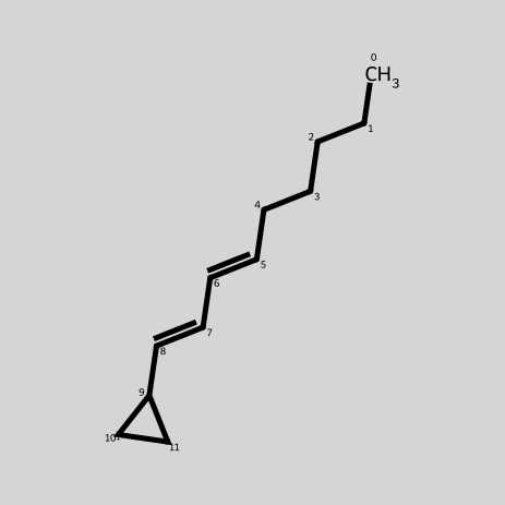 CCCCCC=CC=CC1[CH]C1